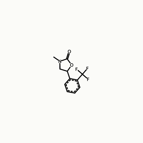 CN1CC(c2ccccc2C(F)(F)F)OC1=O